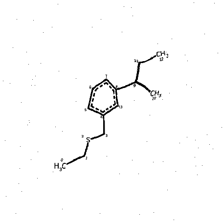 CCSCc1cccc(C(C)CC)c1